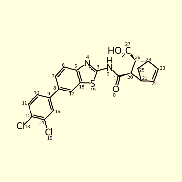 O=C(Nc1nc2ccc(-c3ccc(Cl)c(Cl)c3)cc2s1)[C@@H]1C2C=CC(C2)[C@@H]1C(=O)O